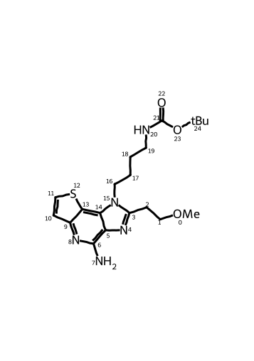 COCCc1nc2c(N)nc3ccsc3c2n1CCCCNC(=O)OC(C)(C)C